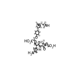 C[n+]1cc(-c2ccc(OCC(O/N=C(\C(=O)N[C@@H]3C(=O)N(OS(=O)(=O)O)C3(C)C)c3csc(N)n3)C(=O)O)cc2)cn1CC1CNC1